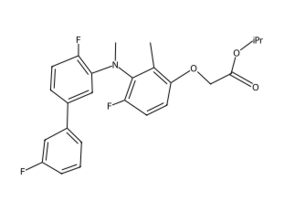 Cc1c(OCC(=O)OC(C)C)ccc(F)c1N(C)c1cc(-c2cccc(F)c2)ccc1F